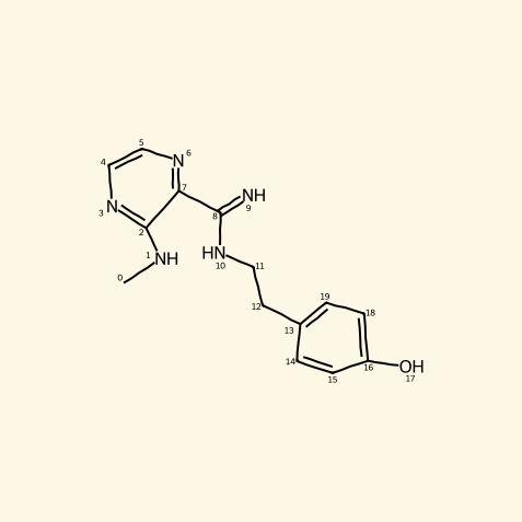 CNc1nccnc1C(=N)NCCc1ccc(O)cc1